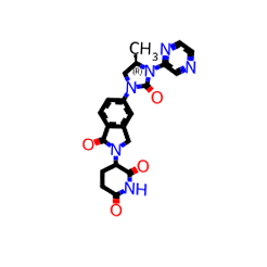 C[C@@H]1CN(c2ccc3c(c2)CN(C2CCC(=O)NC2=O)C3=O)C(=O)N1c1cnccn1